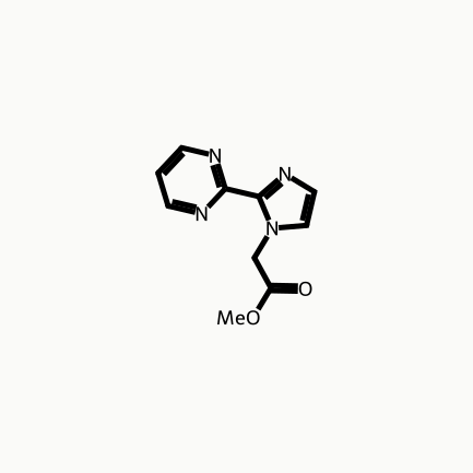 COC(=O)Cn1ccnc1-c1ncccn1